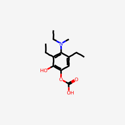 CCc1cc(OC(=O)O)c(O)c(CC)c1N(C)CC